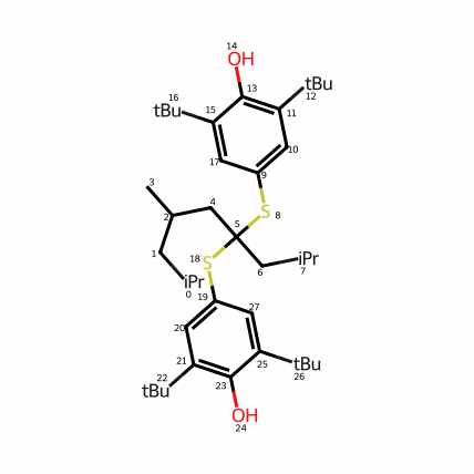 CC(C)CC(C)CC(CC(C)C)(Sc1cc(C(C)(C)C)c(O)c(C(C)(C)C)c1)Sc1cc(C(C)(C)C)c(O)c(C(C)(C)C)c1